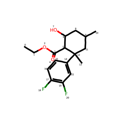 CCOC(=O)C1C(O)CC(C)CC1(C)c1ccc(F)c(F)c1